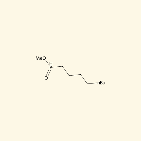 CCCCCCCC[PH](=O)OC